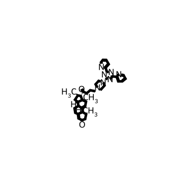 C[C@@H]1C[C@H]2[C@@H]3CCC4=CC(=O)CC[C@]4(C)C3=CC[C@]2(C)[C@H]1C(=O)CCCN1CCN(c2nc(-c3ccccn3)nc(-c3ccccn3)n2)CC1